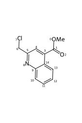 COC(=O)c1cc(CCl)nc2ccccc12